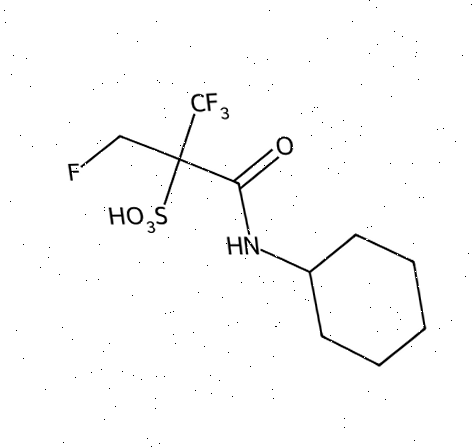 O=C(NC1CCCCC1)C(CF)(C(F)(F)F)S(=O)(=O)O